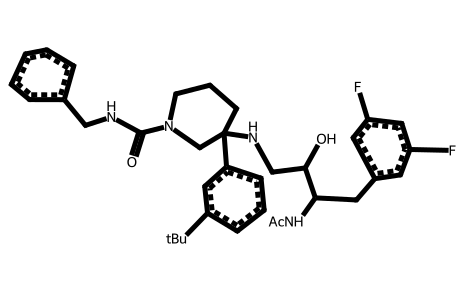 CC(=O)NC(Cc1cc(F)cc(F)c1)C(O)CNC1(c2cccc(C(C)(C)C)c2)CCCN(C(=O)NCc2ccccc2)C1